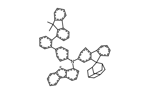 CC1(C)c2ccccc2-c2cccc(-c3ccccc3-c3ccc(N(c4ccc5c(c4)C4(c6ccccc6-5)C5CC6CC(C5)CC4C6)c4cccc5c4sc4ccccc45)cc3)c21